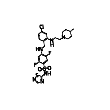 CC1CCN(CCNc2cc(Cl)ccc2CNc2cc(F)c(S(=O)(=O)Nc3ncns3)cc2F)CC1